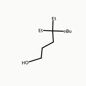 CCCCC(CC)(CC)CC[CH]O